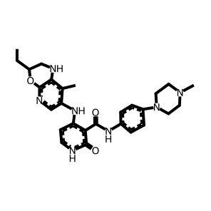 CCC1CNc2c(ncc(Nc3cc[nH]c(=O)c3C(=O)Nc3ccc(N4CCN(C)CC4)cc3)c2C)O1